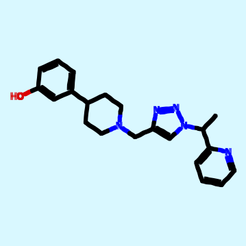 CC(c1ccccn1)n1cc(CN2CCC(c3cccc(O)c3)CC2)nn1